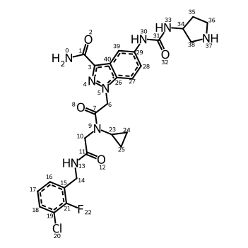 NC(=O)c1nn(CC(=O)N(CC(=O)NCc2cccc(Cl)c2F)C2CC2)c2ccc(NC(=O)NC3CCNC3)cc12